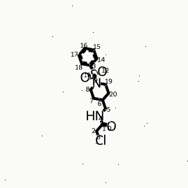 O=C(CCl)NCC1CCN(S(=O)(=O)c2ccccc2)CC1